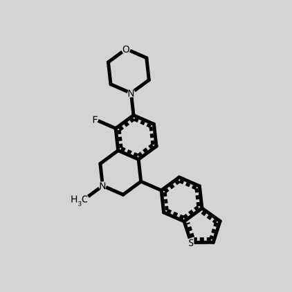 CN1Cc2c(ccc(N3CCOCC3)c2F)C(c2ccc3ccsc3c2)C1